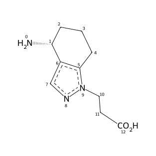 N[C@@H]1CCCc2c1cnn2CCC(=O)O